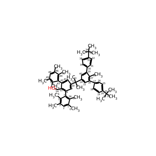 Cc1cc(C)c(C)c(-c2cc(C(C)(C)c3cc(-c4ccc(C(C)(C)C)cc4)c(C)c(-c4ccc(C(C)(C)C)cc4)c3)cc(-c3c(C)c(C)cc(C)c3C)c2CO)c1C